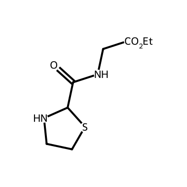 CCOC(=O)CNC(=O)C1NCCS1